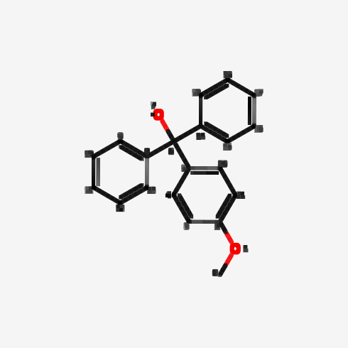 COc1ccc(C([O])(c2ccccc2)c2ccccc2)cc1